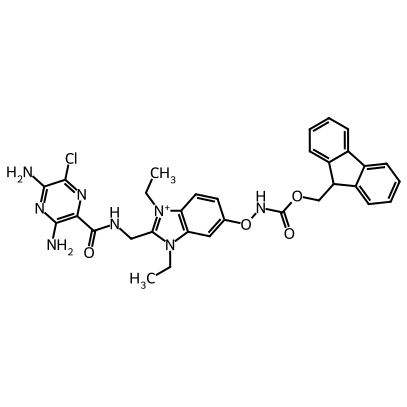 CCn1c(CNC(=O)c2nc(Cl)c(N)nc2N)[n+](CC)c2ccc(ONC(=O)OCC3c4ccccc4-c4ccccc43)cc21